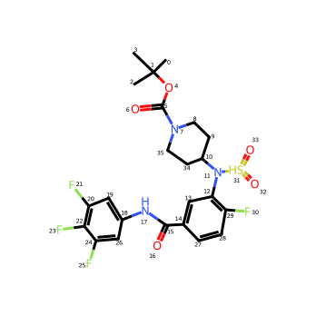 CC(C)(C)OC(=O)N1CCC(N(c2cc(C(=O)Nc3cc(F)c(F)c(F)c3)ccc2F)[SH](=O)=O)CC1